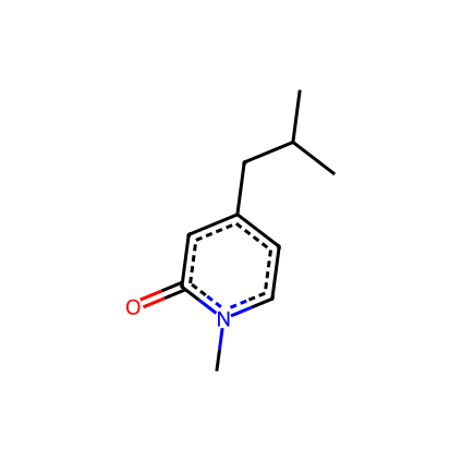 CC(C)Cc1ccn(C)c(=O)c1